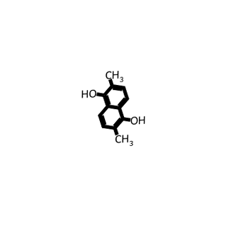 Cc1ccc2c(O)c(C)ccc2c1O